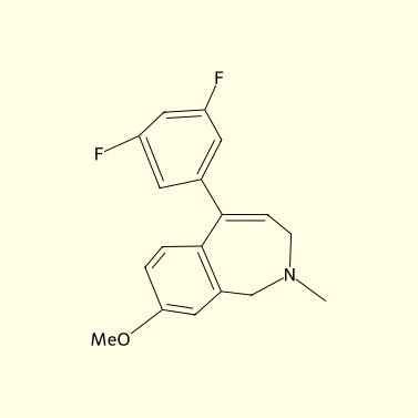 COc1ccc2c(c1)CN(C)CC=C2c1cc(F)cc(F)c1